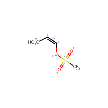 O=C(O)/C=C\OS(=O)(=O)C(F)(F)F